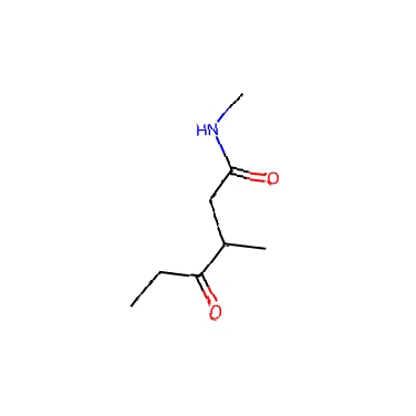 CCC(=O)C(C)CC(=O)NC